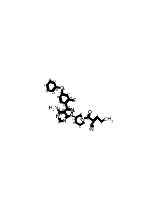 CC/C=C(\C#N)C(=O)N1CCC[C@@H](n2nc(-c3ccc(Oc4ccccc4)cc3F)c3c(N)ncnc32)C1